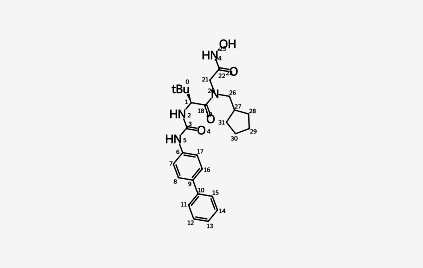 CC(C)(C)[C@H](NC(=O)Nc1ccc(-c2ccccc2)cc1)C(=O)N(CC(=O)NO)CC1CCCC1